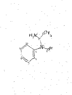 CCCN([C](C)N)c1ccccc1